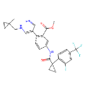 COC(=O)c1cc(NC(=O)C2(c3ccc(C(F)(F)F)cc3F)CC2)ccc1/C(C=N)=C/NCC1(C)CC1